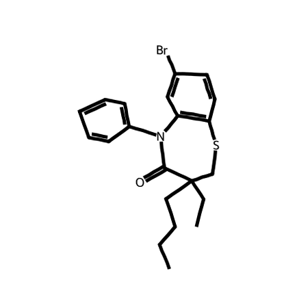 CCCCC1(CC)CSc2ccc(Br)cc2N(c2ccccc2)C1=O